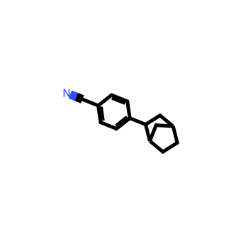 N#Cc1ccc(C2CC3CCC2C3)cc1